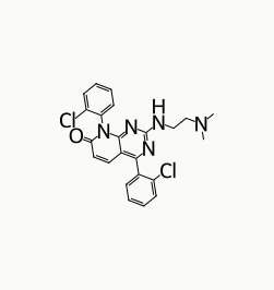 CN(C)CCNc1nc(-c2ccccc2Cl)c2ccc(=O)n(-c3ccccc3Cl)c2n1